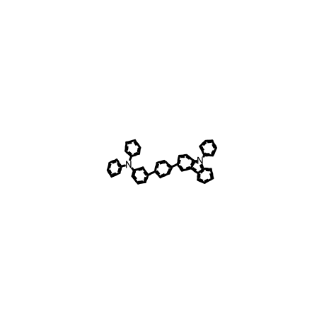 c1ccc(N(c2ccccc2)c2cccc(-c3ccc(-c4ccc5c(c4)c4ccccc4n5-c4ccccc4)cc3)c2)cc1